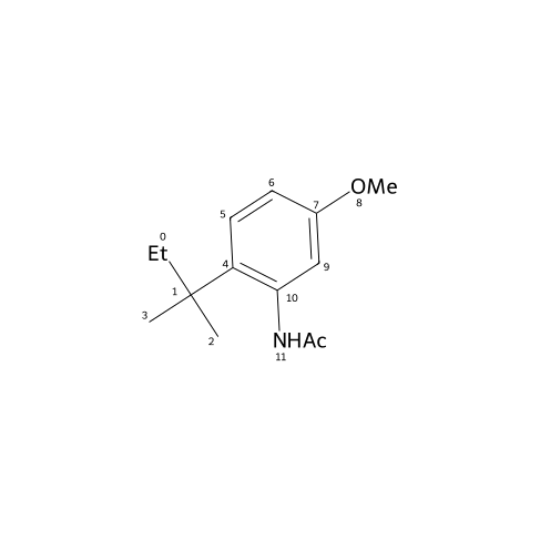 CCC(C)(C)c1ccc(OC)cc1NC(C)=O